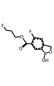 O=C(OCCCF)c1cc2c(cc1F)COB2O